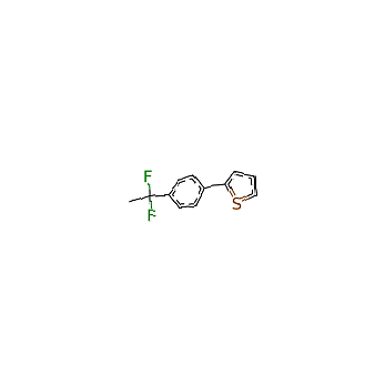 CC(F)(F)c1ccc(-c2cccs2)cc1